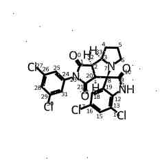 O=C1[C@H]2[C@H]3CCCN3[C@]3(C(=O)Nc4c(Cl)cc(Cl)cc43)[C@H]2C(=O)N1c1cc(Cl)cc(Cl)c1